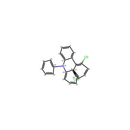 Clc1ccc(Cl)c(-c2ccccc2N(c2ccccc2)c2ccccc2)c1